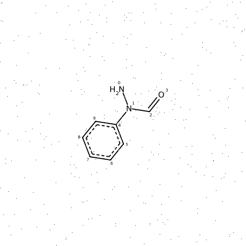 NN(C=O)c1ccccc1